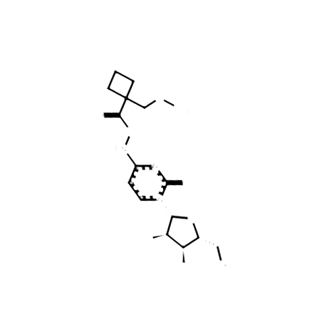 COCC1(C(=O)ONc2ccn([C@@H]3O[C@H](CO)[C@@H](O)[C@H]3O)c(=O)n2)CCC1